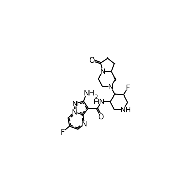 Nc1nn2cc(F)cnc2c1C(=O)NC1CNCC(F)C1N1CCN2C(=O)CCC2C1